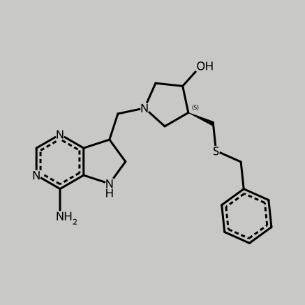 Nc1ncnc2c1NCC2CN1CC(O)[C@@H](CSCc2ccccc2)C1